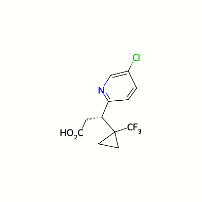 O=C(O)C[C@H](c1ccc(Cl)cn1)C1(C(F)(F)F)CC1